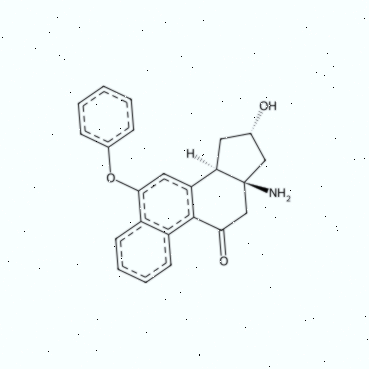 N[C@@]12CC(=O)c3c(cc(Oc4ccccc4)c4ccccc34)[C@H]1C[C@H](O)C2